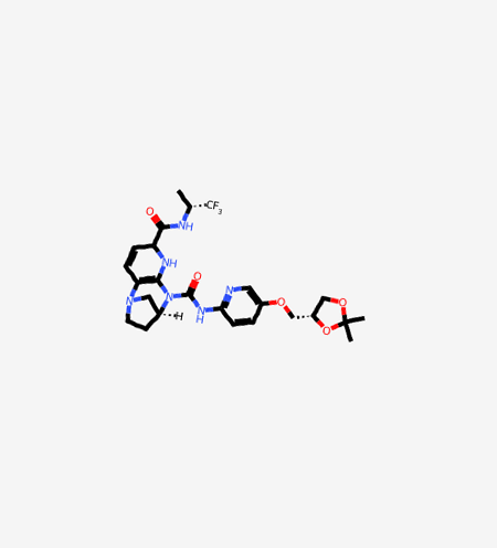 C[C@@H](NC(=O)C1C=CC2=C(N1)N(C(=O)Nc1ccc(OC[C@@H]3COC(C)(C)O3)cn1)[C@H]1CCN2C1)C(F)(F)F